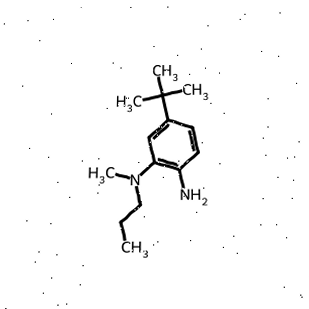 CCCN(C)c1cc(C(C)(C)C)ccc1N